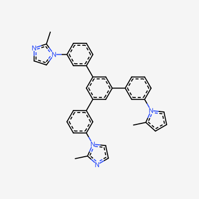 Cc1cccn1-c1cccc(-c2cc(-c3cccc(-n4ccnc4C)c3)cc(-c3cccc(-n4ccnc4C)c3)c2)c1